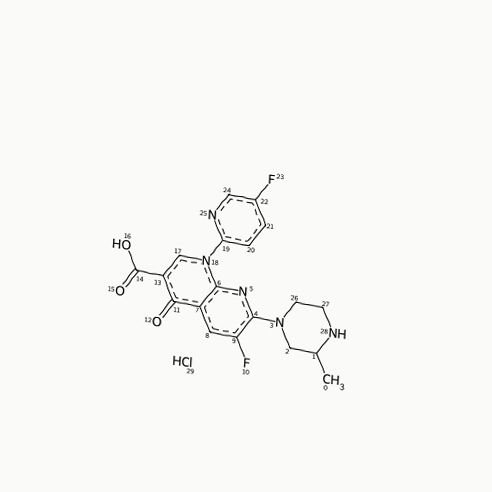 CC1CN(c2nc3c(cc2F)c(=O)c(C(=O)O)cn3-c2ccc(F)cn2)CCN1.Cl